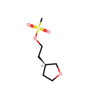 CS(=O)(=O)OCC[C@@H]1CCOC1